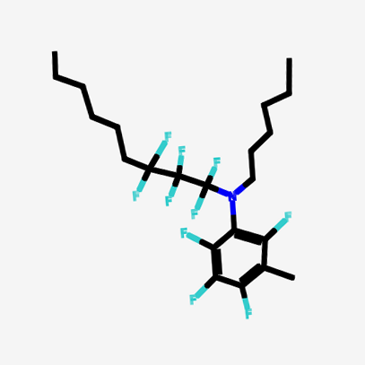 CCCCCCN(c1c(F)c(C)c(F)c(F)c1F)C(F)(F)C(F)(F)C(F)(F)CCCCCC